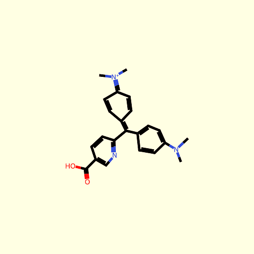 CN(C)c1ccc(C(=C2C=CC(=[N+](C)C)C=C2)c2ccc(C(=O)O)cn2)cc1